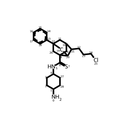 NC1CCC(NC(=S)C23CC4CC(c5ccccc5)(CC2C4CCCCl)C3)CC1